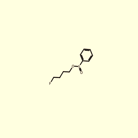 O=S(OCCCCF)c1ccccc1